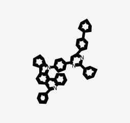 c1ccc(-c2ccc(-c3cc(-c4ccc(-n5c6ccccc6c6ccc7c(-c8ccccc8)nc8ccccc8c7c65)cc4)nc(-c4ccccc4)n3)cc2)cc1